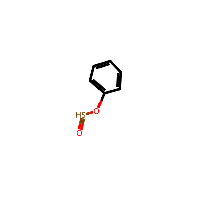 O=[SH]Oc1ccccc1